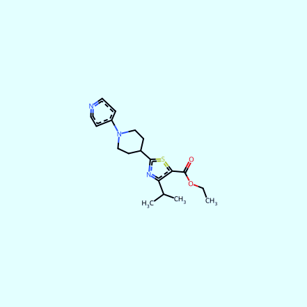 CCOC(=O)c1sc(C2CCN(c3ccncc3)CC2)nc1C(C)C